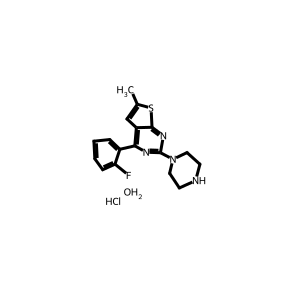 Cc1cc2c(-c3ccccc3F)nc(N3CCNCC3)nc2s1.Cl.O